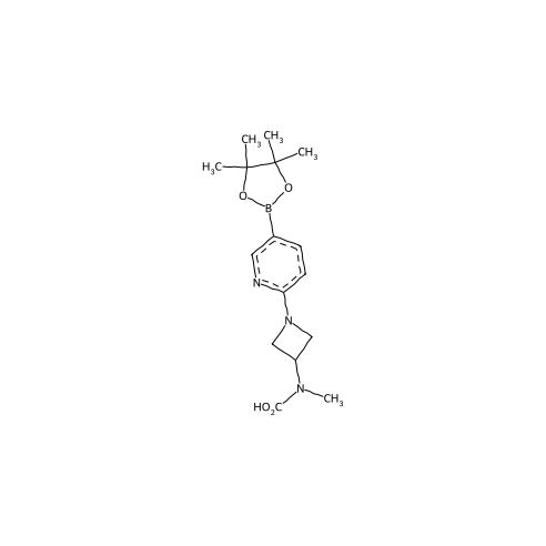 CN(C(=O)O)C1CN(c2ccc(B3OC(C)(C)C(C)(C)O3)cn2)C1